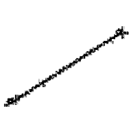 O=C(CCCCC1SCC2NC(=O)NC21)NCCOCCOCCOCCOCCOCCOCCOCCOCCOCCOCCOCCOCCC(=O)NCCCOCCOCCOCCCNC(=O)c1cccc(O)c1